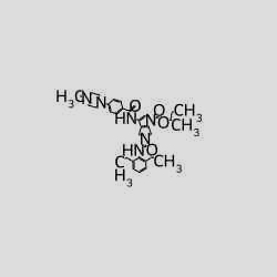 CCc1cccc(CC)c1NC(=O)N1Cc2c(NC(=O)c3ccc(N4CCN(C)CC4)cc3)cn(C(=O)OC(C)CC)c2C1